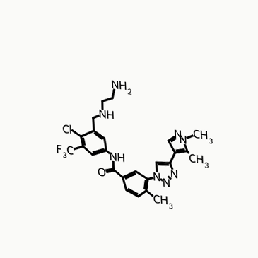 Cc1ccc(C(=O)Nc2cc(CNCCN)c(Cl)c(C(F)(F)F)c2)cc1-n1cc(-c2cnn(C)c2C)nn1